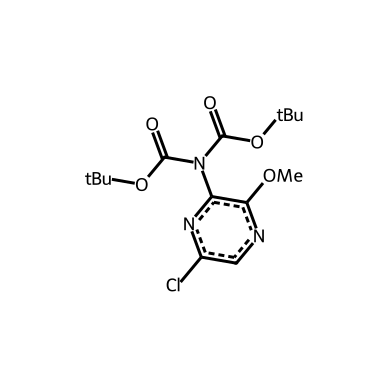 COc1ncc(Cl)nc1N(C(=O)OC(C)(C)C)C(=O)OC(C)(C)C